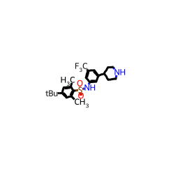 Cc1cc(C(C)(C)C)cc(C)c1S(=O)(=O)Nc1cc(C2CCNCC2)cc(C(F)(F)F)c1